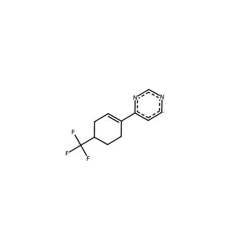 FC(F)(F)C1CC=C(c2c[c]ncn2)CC1